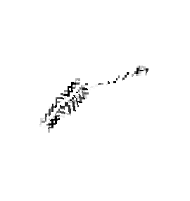 CC(C)CCCCCCCCCCC(F)(F)C(F)(F)C(F)(F)C(F)(F)C(F)(F)C(F)(F)C(F)(F)C(F)(F)C(F)(F)C(C)(F)F